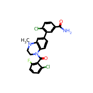 CN1CCN(C(=O)c2c(F)cccc2Cl)c2ccc(-c3cc(C(N)=O)ccc3Cl)cc21